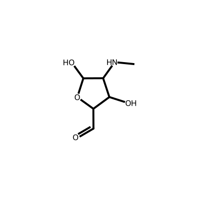 CNC1C(O)OC(C=O)C1O